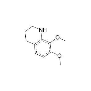 COc1ccc2c(c1OC)NCCC2